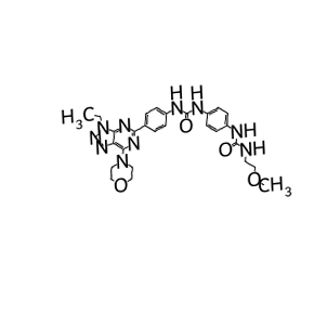 CCn1nnc2c(N3CCOCC3)nc(-c3ccc(NC(=O)Nc4ccc(NC(=O)NCCOC)cc4)cc3)nc21